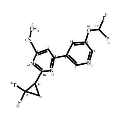 CSc1cc(-c2cncc(OC(F)F)c2)nc(C2CC2(F)F)n1